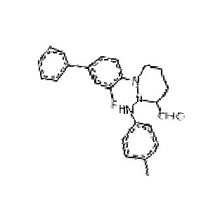 Cc1ccc(NN2C(C=O)CCCN2c2ccc(-c3ccccc3)cc2F)cc1